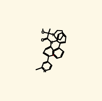 COC(C)(C(=O)N(c1ccc(-c2ccnc(C)c2)cc1)c1ccccc1-c1ccccc1)N1CCCCC1